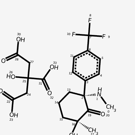 CN[C@@]1(c2ccc(C(F)(F)F)cc2)CCC[C@](C)(O)C1=O.O=C(O)CC(O)(CC(=O)O)C(=O)O